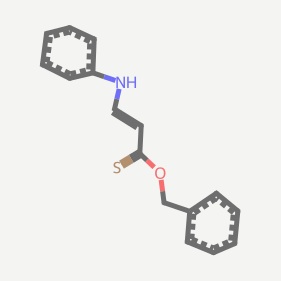 S=C(C=CNc1ccccc1)OCc1ccccc1